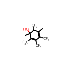 CC1=C(C(F)(F)F)C(C(F)(F)F)=C(C(F)(F)F)C(C)(O)C1C(F)(F)F